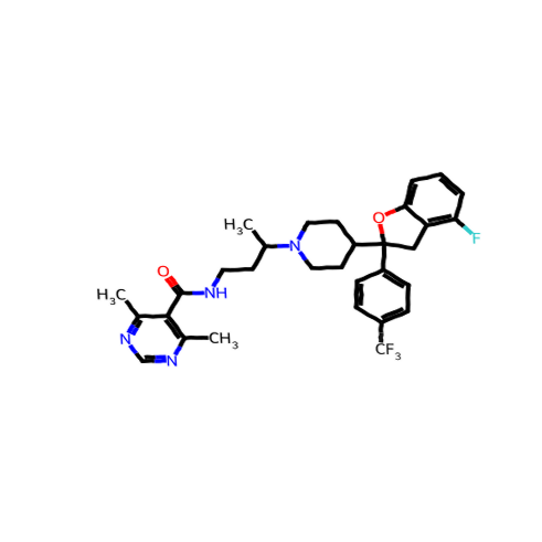 Cc1ncnc(C)c1C(=O)NCCC(C)N1CCC(C2(c3ccc(C(F)(F)F)cc3)Cc3c(F)cccc3O2)CC1